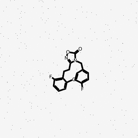 O=c1onc(CCc2c(F)cccc2Cl)n1Cc1ccc(F)cc1